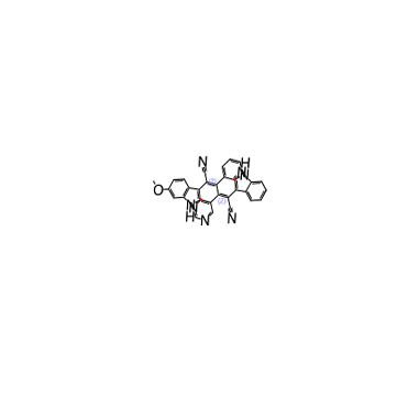 COc1ccc2c(/C(C#N)=C(\C(=C(\C#N)c3c[nH]c4ccccc34)c3cncnc3)c3cccnc3)c[nH]c2c1